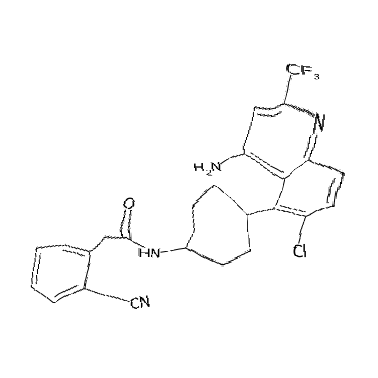 N#Cc1ccccc1C(=O)NC1CCC(c2c(Cl)ccc3nc(C(F)(F)F)cc(N)c23)CC1